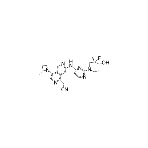 C[C@@H]1CCN1c1cnc(CC#N)c2cc(Nc3ccnc(N4CC[C@@H](O)[C@@](C)(F)C4)n3)ncc12